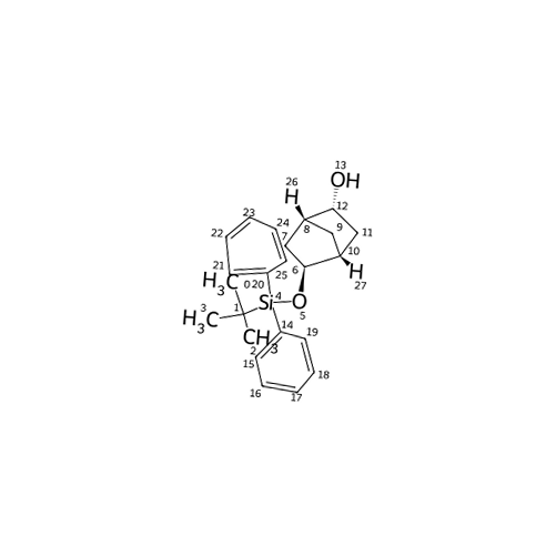 CC(C)(C)[Si](O[C@H]1C[C@H]2C[C@@H]1C[C@H]2O)(c1ccccc1)c1ccccc1